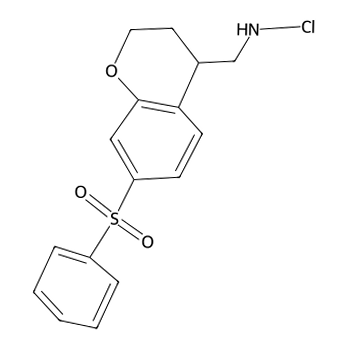 O=S(=O)(c1ccccc1)c1ccc2c(c1)OCCC2CNCl